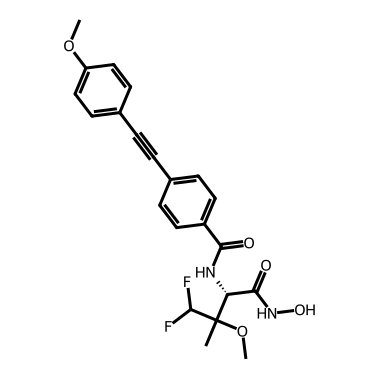 COc1ccc(C#Cc2ccc(C(=O)N[C@H](C(=O)NO)C(C)(OC)C(F)F)cc2)cc1